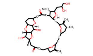 C=C1CC2CCC(=O)C[C@H]3OC4C(O)[C@H]5OC(CCC5O[C@H]4C3O)CC(=O)CC3[C@@H](OC)C(CC(O)CO)O[C@H]3CC3OC(CCC1O2)C[C@@H](C)C3=C